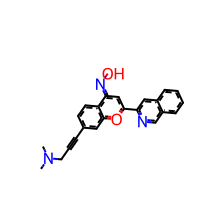 CN(C)CC#Cc1ccc2c(=NO)cc(-c3cc4ccccc4cn3)oc2c1